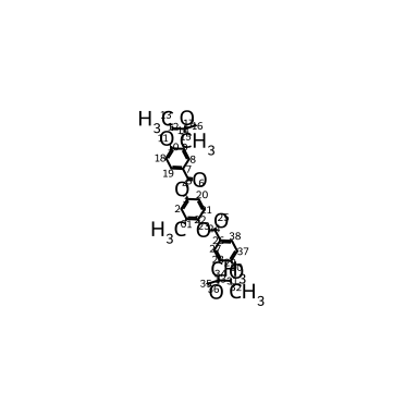 Cc1cc(OC(=O)c2ccc(OC(C)C3(C)CO3)cc2)ccc1OC(=O)c1ccc(OC(C)C2(C)CO2)cc1